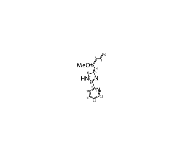 C=C/C=C(\C=C1/CNC(c2ccccn2)=N1)OC